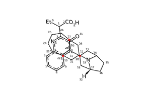 CCC(C(=O)O)c1nc2ccccc2n(C2CC3CC[C@H](C2)N3C2CC3CCCCC(C3)C2)c1=O